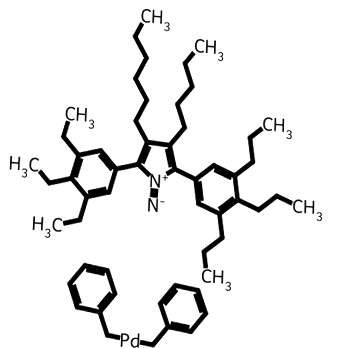 CCCCCCC1=C(c2cc(CC)c(CC)c(CC)c2)[N+](=[N-])C(c2cc(CCC)c(CCC)c(CCC)c2)=C1CCCCC.c1ccc([CH2][Pd][CH2]c2ccccc2)cc1